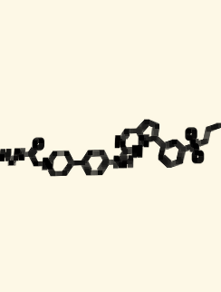 CCCS(=O)(=O)c1cccc(-c2ccc3cnc(Nc4ccc(C5CCN(CC(N)=O)CC5)cc4)nn23)c1